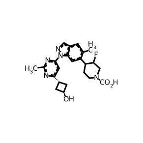 Cc1nc(-n2ncc3cc(C)c(C4CCN(C(=O)O)CC4F)cc32)cc([C@H]2C[C@H](O)C2)n1